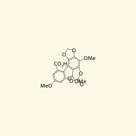 COC(=O)c1c2c(OC)c3c(c1-c1c(cc(OC)cc1C(=O)O)OC(=O)O2)OCO3